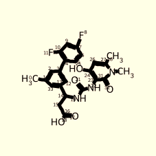 Cc1cc(-c2ccc(F)cc2F)cc(C(CC(=O)O)NC(=O)Nc2c(O)cc(C)n(C)c2=O)c1